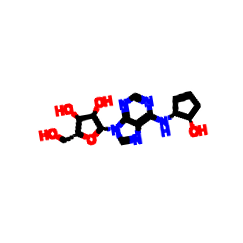 OC[C@H]1O[C@@H](n2cnc3c(N[C@@H]4C=CC[C@@H]4O)ncnc32)[C@H](O)[C@@H]1O